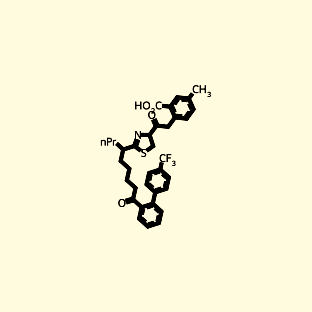 CCCC(CCCCC(=O)c1ccccc1-c1ccc(C(F)(F)F)cc1)C1=NC(C(=O)Cc2ccc(C)cc2C(=O)O)CS1